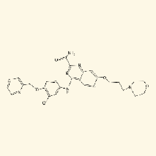 NC(=O)c1nc(Nc2ccc(OCc3ccccn3)c(Cl)c2)c2c[c]c(OCCCN3CCOCC3)cc2n1